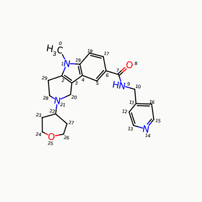 Cn1c2c(c3cc(C(=O)NCc4ccncc4)ccc31)CN(C1CCOCC1)CC2